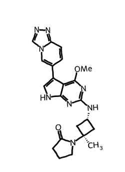 COc1nc(N[C@H]2C[C@](C)(N3CCCC3=O)C2)nc2[nH]cc(-c3ccc4nncn4c3)c12